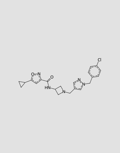 O=C(NC1CN(Cc2cnn(Cc3ccc(Cl)cc3)c2)C1)c1cc(C2CC2)on1